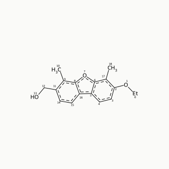 CCOc1ccc2c(oc3c(C)c(CO)ccc32)c1C